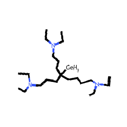 CCN(CC)CCCC[C]([GeH3])(CCCN(CC)CC)CCCN(CC)CC